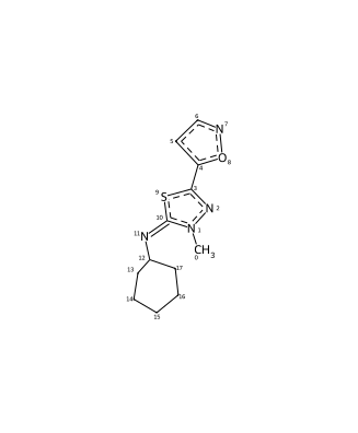 Cn1nc(-c2ccno2)sc1=NC1CCCCC1